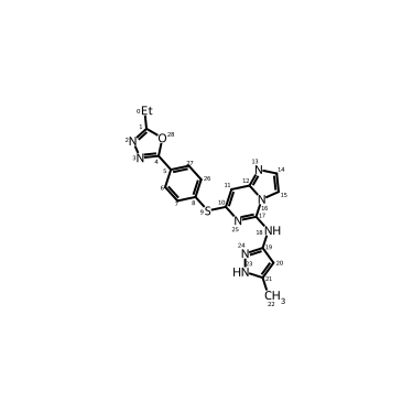 CCc1nnc(-c2ccc(Sc3cc4nccn4c(Nc4cc(C)[nH]n4)n3)cc2)o1